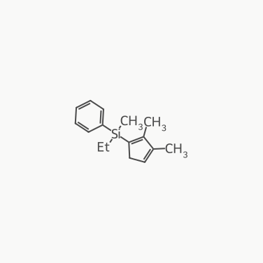 CC[Si](C)(C1=C(C)C(C)=CC1)c1ccccc1